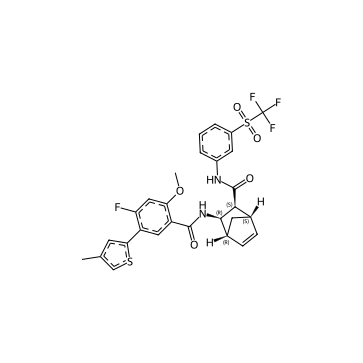 COc1cc(F)c(-c2cc(C)cs2)cc1C(=O)N[C@H]1[C@@H](C(=O)Nc2cccc(S(=O)(=O)C(F)(F)F)c2)[C@@H]2C=C[C@H]1C2